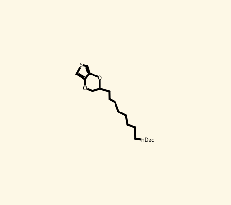 CCCCCCCCCCCCCCCCCCC1COc2cscc2O1